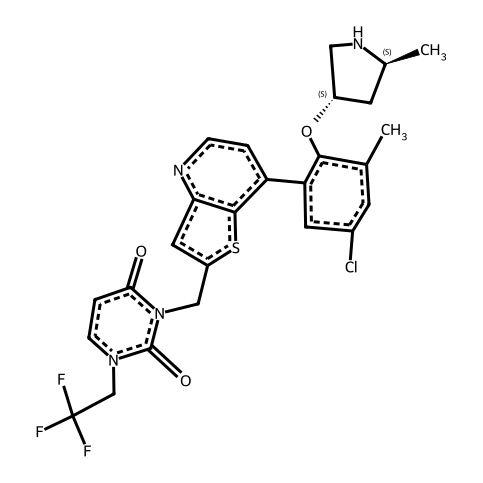 Cc1cc(Cl)cc(-c2ccnc3cc(Cn4c(=O)ccn(CC(F)(F)F)c4=O)sc23)c1O[C@@H]1CN[C@@H](C)C1